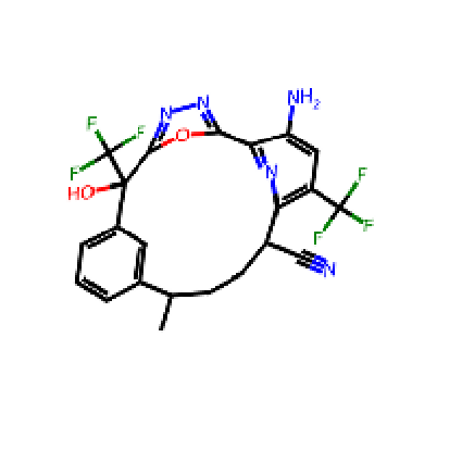 CC1CCC(C#N)c2nc(c(N)cc2C(F)(F)F)-c2nnc(o2)C(O)(C(F)(F)F)c2cccc1c2